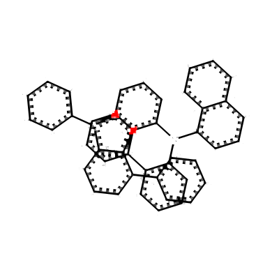 c1ccc(-c2ccccc2N(c2cccc3ccccc23)c2cccc3c2c2c(-c4ccccc4)cccc2n3-c2ccccc2)cc1